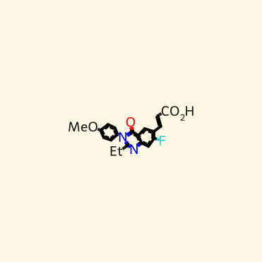 CCc1nc2cc(F)c(C=CC(=O)O)cc2c(=O)n1-c1ccc(OC)cc1